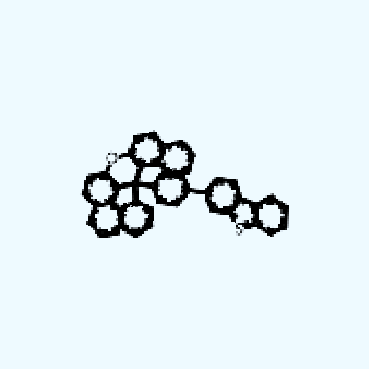 c1ccc(C2(c3ccc(-c4ccc5c(c4)sc4ccccc45)cc3)c3c(ccc4ccccc34)Oc3ccc4ccccc4c32)cc1